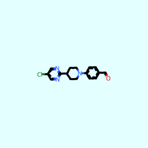 O=Cc1ccc(N2CCC(c3ncc(Cl)cn3)CC2)cc1